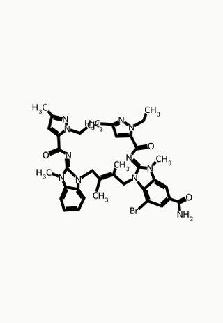 CCn1nc(C)cc1C(=O)/N=c1\n(C)c2ccccc2n1C/C(C)=C(\C)Cn1/c(=N/C(=O)c2cc(C)nn2CC)n(C)c2cc(C(N)=O)cc(Br)c21